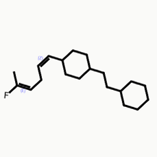 C/C(F)=C\C/C=C\C1CCC(CCC2CCCCC2)CC1